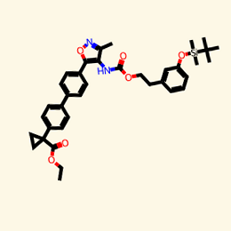 CCOC(=O)C1(c2ccc(-c3ccc(-c4onc(C)c4NC(=O)OCCc4cccc(O[Si](C)(C)C(C)(C)C)c4)cc3)cc2)CC1